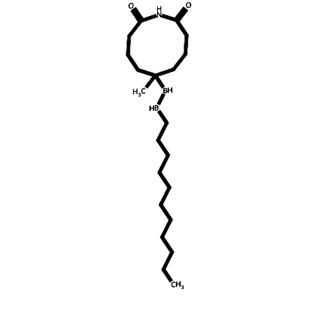 CCCCCCCCCCCBBC1(C)CCCC(=O)NC(=O)CCC1